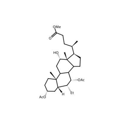 CC[C@H]1[C@@H](OC(C)=O)C2C3CC[C@H]([C@H](C)CCC(=O)OC)[C@@]3(C)[C@@H](O)CC2[C@@]2(C)CC[C@@H](OC(C)=O)C[C@@H]12